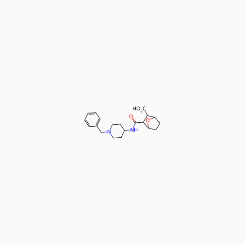 O=C(O)C1C2CCC(O2)C1C(=O)NC1CCN(Cc2ccccc2)CC1